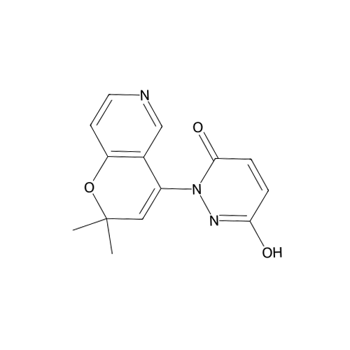 CC1(C)C=C(n2nc(O)ccc2=O)c2cnccc2O1